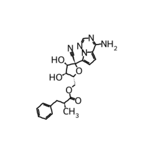 C[C@@H](Cc1ccccc1)C(=O)OC[C@H]1O[C@@](C#N)(c2ccc3c(N)ncnn23)[C@H](O)[C@@H]1O